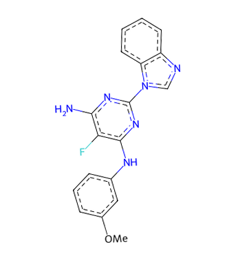 COc1cccc(Nc2nc(-n3cnc4ccccc43)nc(N)c2F)c1